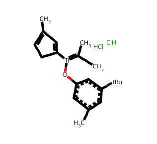 CC1=CC[C]([Ti]([O]c2cc(C)cc(C(C)(C)C)c2)=[C](C)C)=C1.Cl.Cl